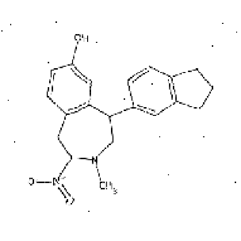 CN1CC(c2ccc3c(c2)CCC3)c2cc(O)ccc2CC1[N+](=O)[O-]